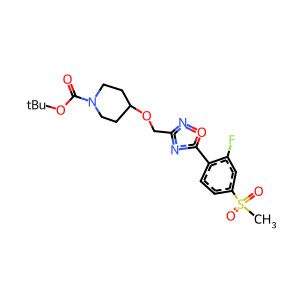 CC(C)(C)OC(=O)N1CCC(OCc2noc(-c3ccc(S(C)(=O)=O)cc3F)n2)CC1